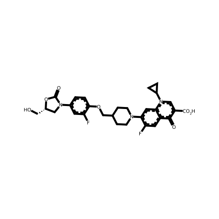 O=C(O)c1cn(C2CC2)c2cc(N3CCC(COc4ccc(N5C[C@H](CO)OC5=O)cc4F)CC3)c(F)cc2c1=O